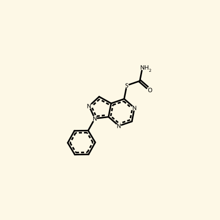 NC(=O)Sc1ncnc2c1cnn2-c1ccccc1